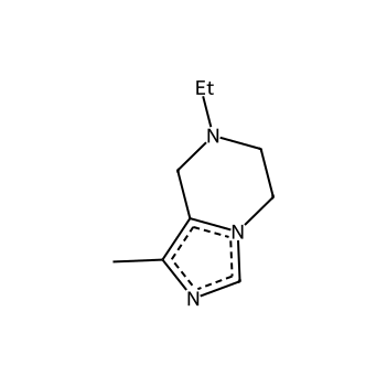 CCN1CCn2cnc(C)c2C1